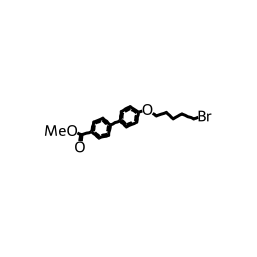 COC(=O)c1ccc(-c2ccc(OCCCCCBr)cc2)cc1